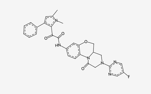 Cc1cc(-c2ccccc2)c(C(=O)C(=O)Nc2ccc3c(c2)OCC2CN(c4ncc(F)cn4)CC(=O)N32)n1C